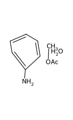 COC(C)=O.Nc1ccccc1.O